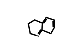 [C]1CCC2=CC=CCC2=N1